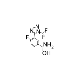 N[C@H](CO)c1ccc(F)c(-c2ncnn2C(F)F)c1